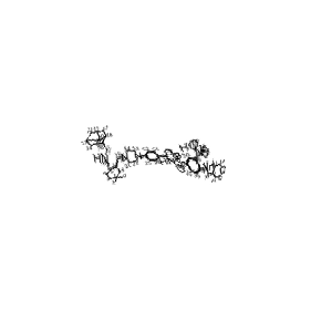 CC1(C)CCC(NCC2C3CC4CC(C3)CC2C4)C(CN2CCN(c3ccc(C(=O)NS(=O)(=O)c4ccc(NCC5CCOCC5)c([N+](=O)O)c4)cc3)CC2)C1